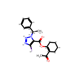 CC(=O)C1=C(OC(=O)c2c(I)nnn2[C@H](C)c2ccccc2)CCCC1